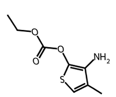 CCOC(=O)Oc1scc(C)c1N